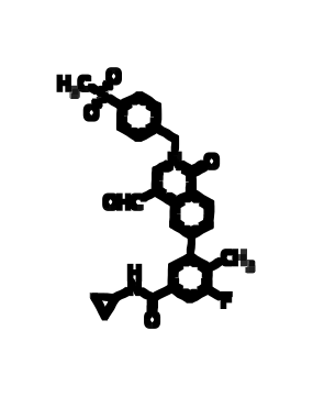 Cc1c(F)cc(C(=O)NC2CC2)cc1-c1ccc2c(=O)n(Cc3ccc(S(C)(=O)=O)cc3)cc(C=O)c2c1